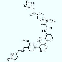 COc1cc(-c2nccc(-c3cccc(NC(=O)c4nc5c(n4C)CCN(C(=O)Cc4nnn[nH]4)C5)c3Cl)c2Cl)ccc1CNCC1CCC(=O)N1